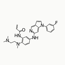 C=CC(=O)Nc1cc(Nc2cc3c(ccn3-c3cccc(F)c3)cn2)ccc1N(C)CCN(C)C